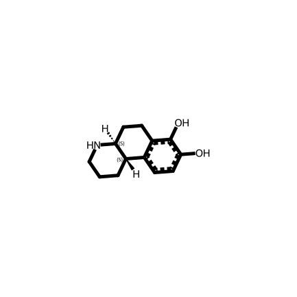 Oc1ccc2c(c1O)CC[C@@H]1NCCC[C@@H]21